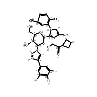 Cc1nc([C@@H]2O[C@H](CO)[C@H](O)[C@H](n3cc(-c4cc(F)c(Cl)c(F)c4)nn3)[C@H]2OCC(=O)C2CCC2)n(-c2cc(Cl)ccc2C(F)(F)F)n1